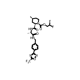 C[C@H]1CCN(C(=O)OCC(F)F)[C@@H](C(=O)N[C@@H](C)C(=O)NCc2ccc(-c3noc(C(F)(F)F)n3)cc2)C1